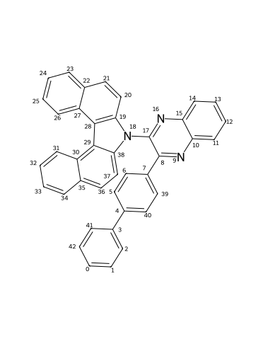 c1ccc(-c2ccc(-c3nc4ccccc4nc3-n3c4ccc5ccccc5c4c4c5ccccc5ccc43)cc2)cc1